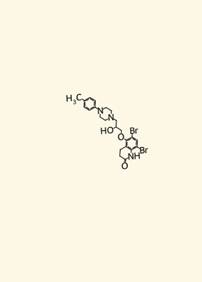 Cc1ccc(N2CCN(CC(O)COc3c(Br)cc(Br)c4c3CCC(=O)N4)CC2)cc1